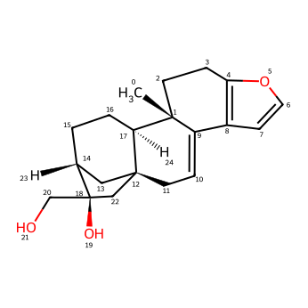 C[C@@]12CCc3occc3C1=CC[C@@]13C[C@@H](CC[C@H]12)[C@@](O)(CO)C3